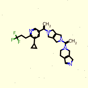 C=C(c1cnc(CCC(F)(F)F)c(C2CC2)c1)N1CC2=C(C1)CN(C(=C)N1CCC3=C(CN=C3)C1)C2